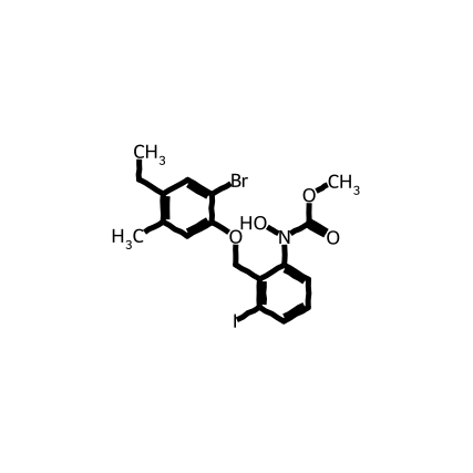 CCc1cc(Br)c(OCc2c(I)cccc2N(O)C(=O)OC)cc1C